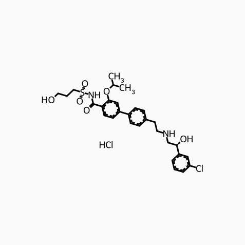 CC(C)Oc1cc(-c2ccc(CCNC[C@@H](O)c3cccc(Cl)c3)cc2)ccc1C(=O)NS(=O)(=O)CCCO.Cl